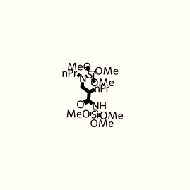 CCCC(CN(CCC)[Si](OC)(OC)OC)C(=O)N[Si](OC)(OC)OC